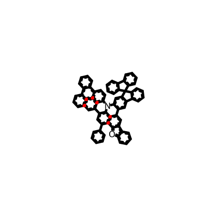 c1ccc(-c2ccc(N(c3ccc4c5ccccc5c5ccccc5c4c3)c3cc4c(cc3-c3ccc5oc6ccccc6c5c3)-c3ccccc3C43c4ccccc4-c4ccccc43)c(-c3ccccc3)c2)cc1